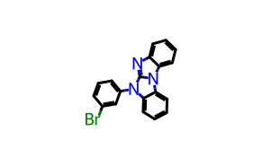 Brc1cccc(-n2c3ccccc3n3c4ccccc4nc23)c1